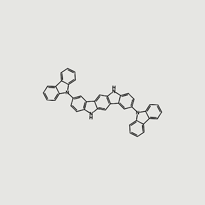 c1ccc2c(c1)c1ccccc1n2-c1ccc2[nH]c3cc4c(cc3c2c1)[nH]c1ccc(-n2c3ccccc3c3ccccc32)cc14